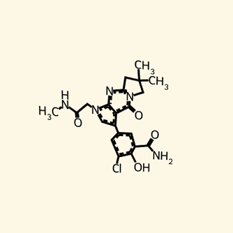 CNC(=O)Cn1cc(-c2cc(Cl)c(O)c(C(N)=O)c2)c2c(=O)n3c(nc21)CC(C)(C)C3